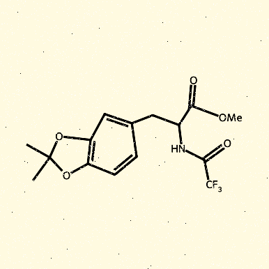 COC(=O)C(Cc1ccc2c(c1)OC(C)(C)O2)NC(=O)C(F)(F)F